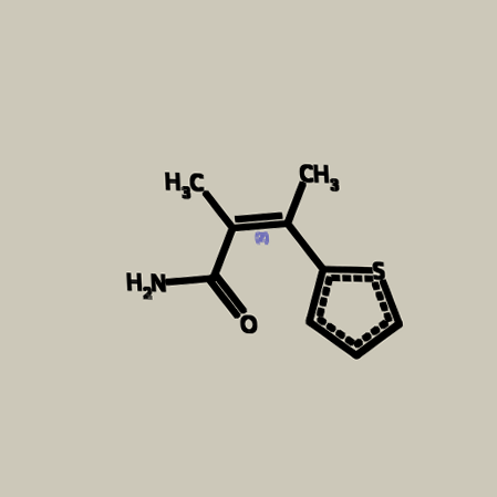 C/C(C(N)=O)=C(\C)c1cccs1